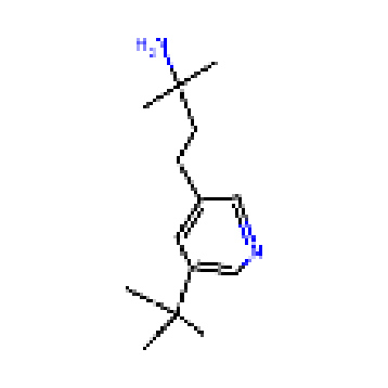 CC(C)(N)CCc1cncc(C(C)(C)C)c1